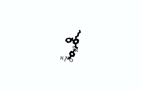 CCCCCc1ccc(-c2cnc(-c3ccc(C(N)=O)cc3)s2)cc1C1(C)CCCCC1